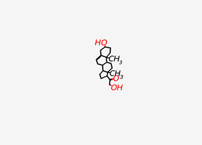 CC12CCC(O)CC1=CCC1C2CCC2(C)C(C(=O)CO)CCC12